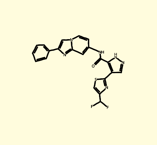 O=C(Nc1ccn2cc(-c3ccccc3)nc2c1)c1[nH]ncc1-c1nc(C(F)F)cs1